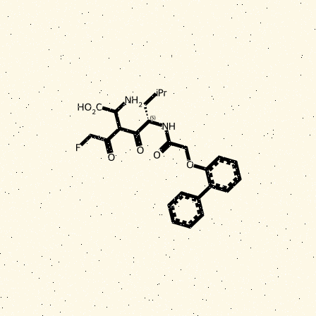 CC(C)C[C@H](NC(=O)COc1ccccc1-c1ccccc1)C(=O)C(C(=O)CF)C(N)C(=O)O